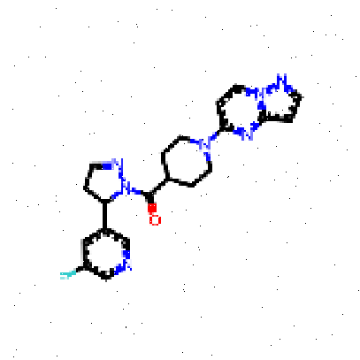 O=C(C1CCN(c2ccn3nccc3n2)CC1)N1N=CCC1c1cncc(F)c1